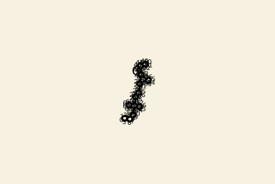 c1ccc2c(c1)ccc1ccc(-c3c4ccccc4c(-c4ccc5cc(-c6ccc7c(c6)c6ccccc6c6cc8c(cc76)oc6ccc7ccccc7c68)ccc5c4)c4ccccc34)cc12